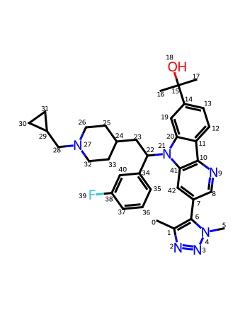 Cc1nnn(C)c1-c1cnc2c3ccc(C(C)(C)O)cc3n(C(CC3CCN(CC4CC4)CC3)c3cccc(F)c3)c2c1